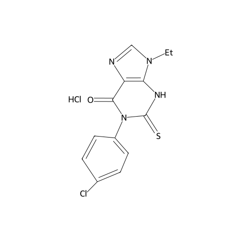 CCn1cnc2c(=O)n(-c3ccc(Cl)cc3)c(=S)[nH]c21.Cl